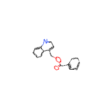 O=C(OCc1ccnc2ccccc12)c1ccccc1